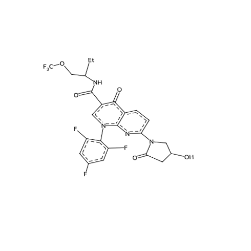 CCC(COC(F)(F)F)NC(=O)c1cn(-c2c(F)cc(F)cc2F)c2nc(N3CC(O)CC3=O)ccc2c1=O